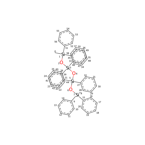 C[Si](O[Si](O[Si](O[Si](C)(c1ccccc1)c1ccccc1)(c1ccccc1)c1ccccc1)(c1ccccc1)c1ccccc1)(c1ccccc1)c1ccccc1